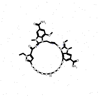 CCn1nc2cc1C(=O)/N=C1\N(C)c3cc(C(N)=O)cc(OC)c3N1C/C=C/Cn1/c(=N/C)n(C)c3cc(C(N)=O)cc(c31)OCCCNCCOCC2